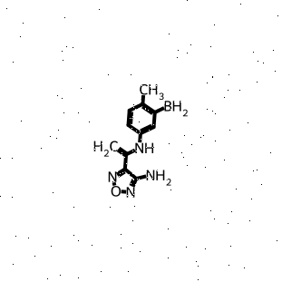 Bc1cc(NC(=C)c2nonc2N)ccc1C